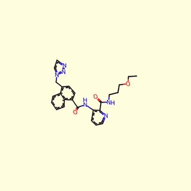 CCOCCCNC(=O)c1ncccc1NC(=O)c1ccc(Cn2ccnn2)c2ccccc12